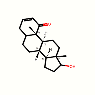 C[C@]12C(=O)C=CCC1CC[C@@H]1[C@@H]2CC[C@]2(C)C(O)CC[C@@H]12